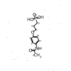 CC(=O)Nc1ccc(OCCCP(=O)(O)O)cc1